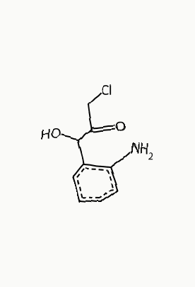 Nc1ccccc1C(O)C(=O)CCl